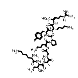 C[C@H](NC(=O)[C@@H](NC(=O)[C@@H](N)CCCCN)[C@@H](O)CN)C(=O)NCC(=O)/N=C(\CCCN)C(=O)N1CCC[C@H]1C(=O)N[C@@H](Cc1ccc(I)cc1)C(=O)N[C@@H](CCCCN)C(=O)N/C(=C\CCNC(=N)N)C(=O)O